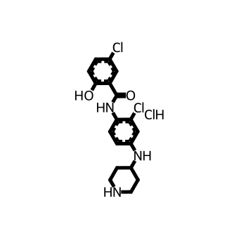 Cl.O=C(Nc1ccc(NC2CCNCC2)cc1Cl)c1cc(Cl)ccc1O